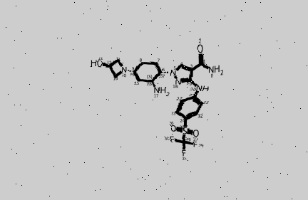 NC(=O)c1cn([C@H]2CC[C@@H](N3CC(O)C3)C[C@@H]2N)nc1Nc1ccc(S(=O)(=O)C(F)(F)F)cc1